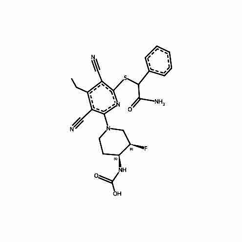 CCc1c(C#N)c(SC(C(N)=O)c2ccccc2)nc(N2CC[C@H](NC(=O)O)[C@H](F)C2)c1C#N